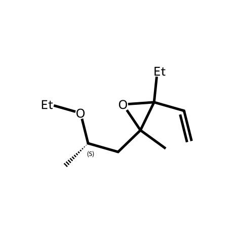 C=CC1(CC)OC1(C)C[C@H](C)OCC